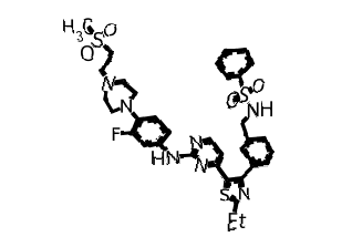 CCc1nc(-c2cccc(CNS(=O)(=O)c3ccccc3)c2)c(-c2ccnc(Nc3ccc(N4CCN(CCS(C)(=O)=O)CC4)c(F)c3)n2)s1